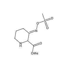 COC(=O)C1NCCCC1=NOS(C)(=O)=O